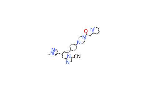 Cn1cc(-c2cc(-c3ccc(N4CCN(C(=O)Cc5ccccn5)CC4)cc3)n3c(C#N)cnc3c2)cn1